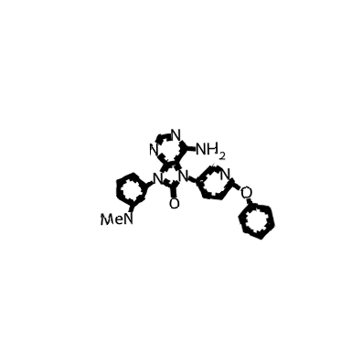 CNc1cccc(-n2c(=O)n(-c3ccc(Oc4ccccc4)nc3)c3c(N)ncnc32)c1